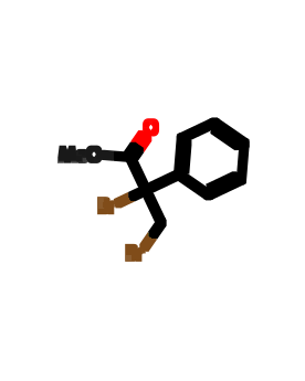 COC(=O)C(Br)(CBr)c1ccccc1